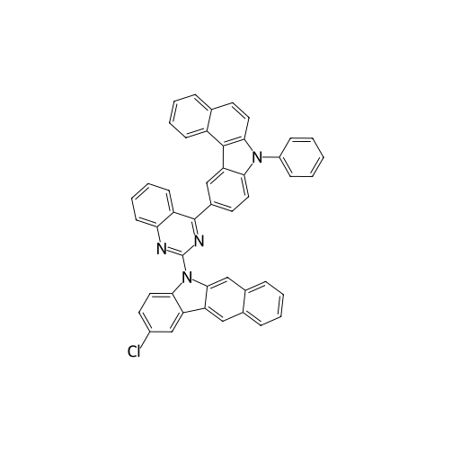 Clc1ccc2c(c1)c1cc3ccccc3cc1n2-c1nc(-c2ccc3c(c2)c2c4ccccc4ccc2n3-c2ccccc2)c2ccccc2n1